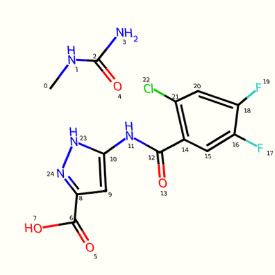 CNC(N)=O.O=C(O)c1cc(NC(=O)c2cc(F)c(F)cc2Cl)[nH]n1